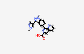 Cn1cc(-c2nn(C)c3ccc(-c4nc(C(=O)O)cc5cccnc45)cc23)cn1